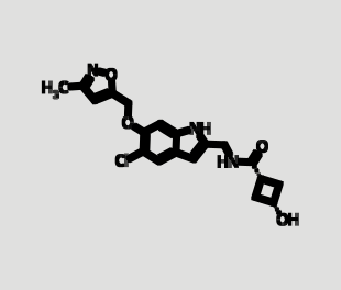 Cc1cc(COc2cc3[nH]c(CNC(=O)[C@H]4C[C@@H](O)C4)cc3cc2Cl)on1